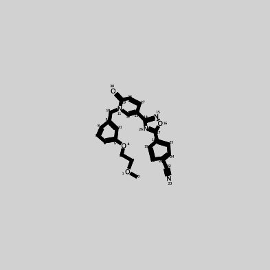 COCCOc1cccc(Cn2cc(-c3noc(-c4ccc(C#N)cc4)n3)ccc2=O)c1